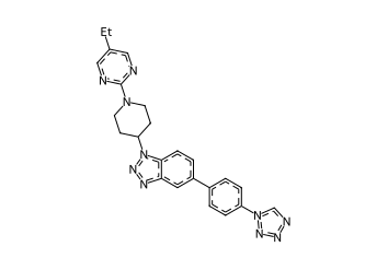 CCc1cnc(N2CCC(n3nnc4cc(-c5ccc(-n6cnnn6)cc5)ccc43)CC2)nc1